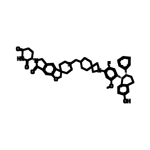 COc1cc(N2CC3(CCC(CN4CCC5(CC4)COc4cc6c(cc45)CN([C@H]4CCC(=O)NC4=O)C6=O)CC3)C2)c(F)cc1[C@H]1c2ccc(O)cc2CC[C@H]1c1ccccc1